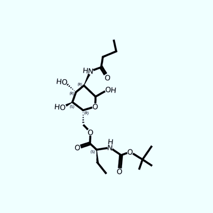 CCCC(=O)N[C@H]1C(O)O[C@H](COC(=O)[C@H](CC)NC(=O)OC(C)(C)C)[C@@H](O)[C@@H]1O